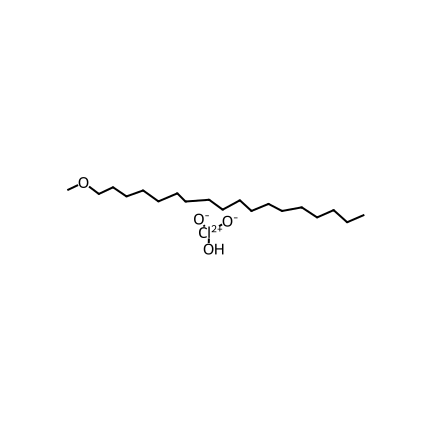 CCCCCCCCCCCCCCCCCCOC.[O-][Cl+2]([O-])O